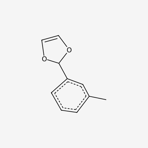 Cc1cccc(C2OC=CO2)c1